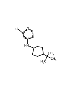 CC(C)(C)C1CCC(Nc2ccnc(Cl)c2)CC1